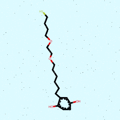 Oc1ccc(O)c(CCCCCCOCCOCCCCS)c1